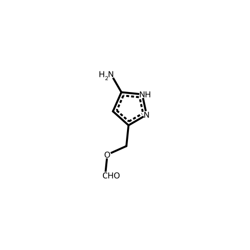 Nc1cc(COC=O)n[nH]1